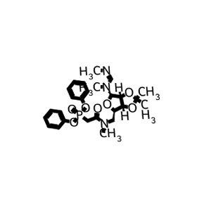 C/N=C\N(C)[C@@H]1O[C@H](CN(C)C(=O)CP(=O)(Oc2ccccc2)Oc2ccccc2)[C@H]2OC(C)(C)O[C@H]21